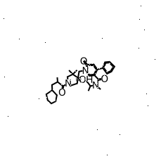 CC(CC1CCCCC1)C(=O)N1CC[C@@](O)(Cn2cc(C(=O)N(C)C(C)C)c(-c3ccccc3)cc2=O)C(C)(C)C1